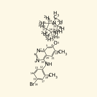 [2H]C([2H])(Oc1cc2ncnc(Nc3ccc(Br)cc3C)c2cc1C)C1([2H])C([2H])([2H])C([2H])([2H])N(C)C([2H])([2H])C1([2H])[2H]